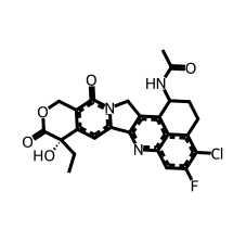 CC[C@@]1(O)C(=O)OCc2c1cc1n(c2=O)Cc2c-1nc1cc(F)c(Cl)c3c1c2C(NC(C)=O)CC3